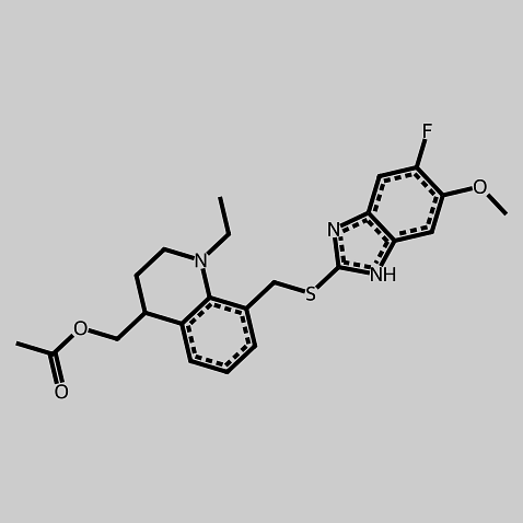 CCN1CCC(COC(C)=O)c2cccc(CSc3nc4cc(F)c(OC)cc4[nH]3)c21